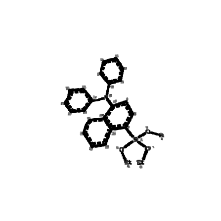 CCO[Si](OCC)(OCC)c1ccc(N(c2ccccc2)c2ccccc2)c2ccccc12